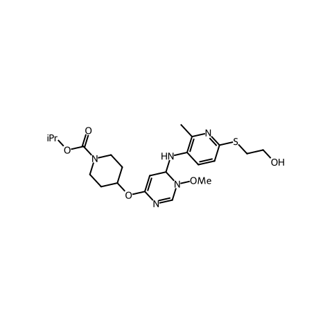 CON1C=NC(OC2CCN(C(=O)OC(C)C)CC2)=CC1Nc1ccc(SCCO)nc1C